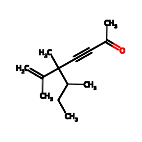 C=C(C)C(C)(C#CC(C)=O)C(C)CC